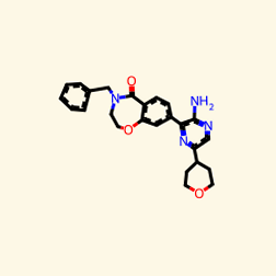 Nc1ncc(C2CCOCC2)nc1-c1ccc2c(c1)OCCN(Cc1ccccc1)C2=O